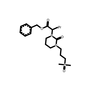 CC(C)C(C(=O)OCc1ccccc1)N1CCCN(CCCP(C)(C)=O)C1=O